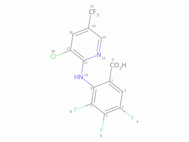 O=C(O)c1cc(F)c(F)c(F)c1Nc1ncc(C(F)(F)F)cc1Cl